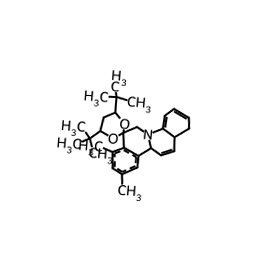 Cc1cc(C)c2c(c1)C1C=CC3CC=CC=C3N1CC21OC(C(C)(C)C)CC(C(C)(C)C)O1